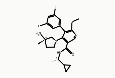 COc1ncc(C(=O)N[C@@H](C)C2CC2)c(N2CC[C@](C)(N)C2)c1-c1cc(F)cc(F)c1